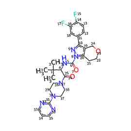 CC(C)(C)C(NC(=O)n1nc(-c2ccc(F)c(F)c2)c2c1CCOC2)C(=O)N1CCN(c2ncccn2)CC1